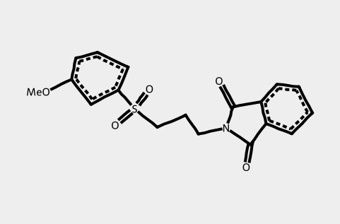 COc1cccc(S(=O)(=O)CCCN2C(=O)c3ccccc3C2=O)c1